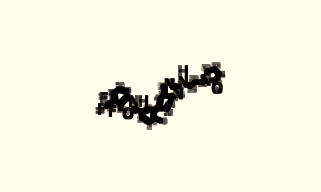 Cc1ccc(C(=O)Nc2cccc(C(F)(F)F)c2C)cc1-c1ccc2nc(NCCCN3CCCC3=O)ncc2c1